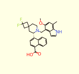 COc1cc(C)c2[nH]ccc2c1CN1CCC2(C[C@H]1c1ccc(C(=O)O)c3ccccc13)CC(F)(F)C2